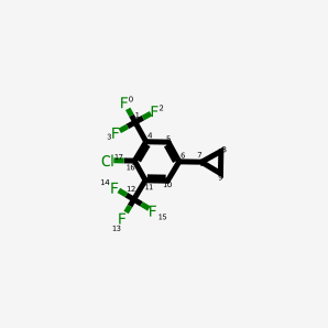 FC(F)(F)c1cc([C]2CC2)cc(C(F)(F)F)c1Cl